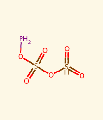 O=[SH](=O)OS(=O)(=O)OP